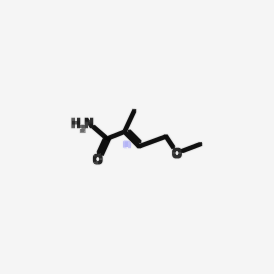 COC/C=C(\C)C(N)=O